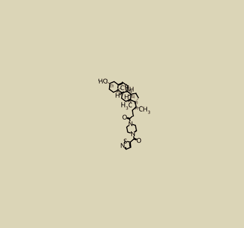 C[C@H](CCC(=O)N1CCN(C(=O)c2ccns2)CC1)[C@H]1CC[C@H]2[C@@H]3CC=C4C[C@@H](O)CC[C@]4(C)[C@H]3CC[C@]12C